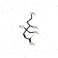 C=C(F)/C=C\C(C)(CC)C(C)CCC